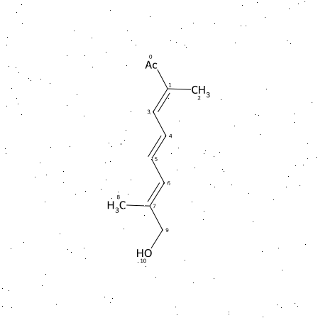 CC(=O)/C(C)=C/C=C/C=C(\C)CO